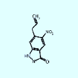 C=CCc1cc2c(cc1[N+](=O)[O-])C(=O)[N]N2